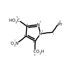 CC(C)Cn1nc(C(=O)O)c([N+](=O)[O-])c1C(=O)O